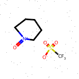 O=S(=O)([O-])C(F)(F)F.O=[N+]1CCCCC1